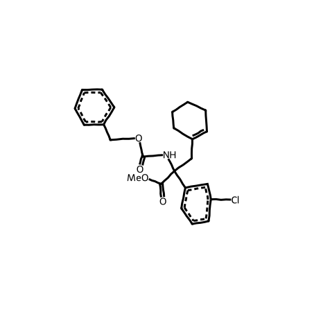 COC(=O)C(CC1=CCCCC1)(NC(=O)OCc1ccccc1)c1cccc(Cl)c1